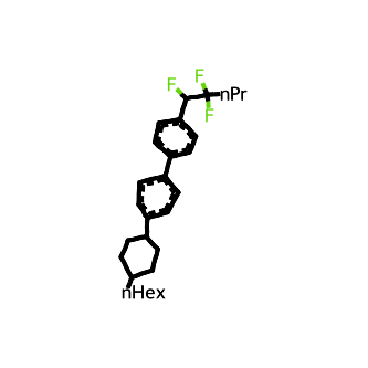 CCCCCCC1CCC(c2ccc(-c3ccc(C(F)C(F)(F)CCC)cc3)cc2)CC1